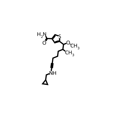 COC(c1cc(C(N)=O)cs1)C(C)CCCC#CNCC1CC1